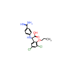 CCCOc1c(Cl)cc(Cl)cc1C(Nc1ccc(C(=N)N)cc1)C(=O)O